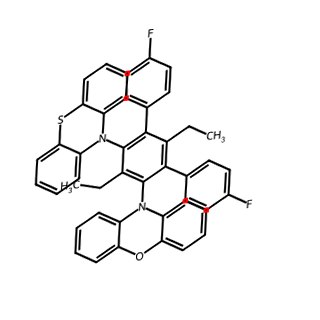 CCc1c(-c2ccc(F)cc2)c(N2c3ccccc3Oc3ccccc32)c(CC)c(N2c3ccccc3Sc3ccccc32)c1-c1ccc(F)cc1